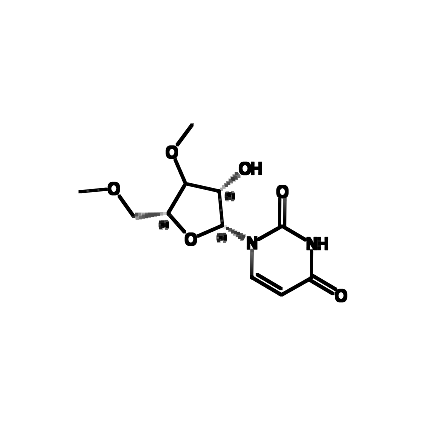 COC[C@H]1O[C@@H](n2ccc(=O)[nH]c2=O)[C@@H](O)C1OC